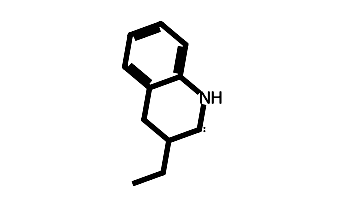 CCC1[C]Nc2ccccc2C1